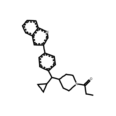 CCC(=O)N1CCC(C(c2ccc(-c3cnc4ccccc4c3)cc2)C2CC2)CC1